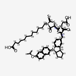 CC(C)Oc1ccc2cc(N3c4ccc(/C=c5\s/c(=C6/SC(=S)N(CCCCCCCCCCCC(=O)O)C6=O)n(CC(=O)O)c5=O)cc4C4CCCC43)ccc2c1